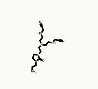 N#CCNCCN(CCNCC#N)CCN1CCN(CCN)C1=O